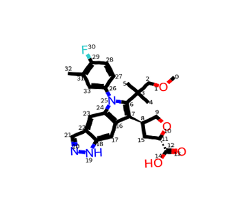 COCC(C)(C)c1c([C@H]2CO[C@H](C(=O)O)C2)c2cc3[nH]ncc3cc2n1-c1ccc(F)c(C)c1